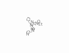 CCC(=O)N1Cc2nc(Cc3ccccc3)nc(-c3ccn(Cc4cccnc4)n3)c2C1